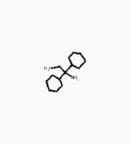 NC(CP)(C1CCCCC1)C1CCCCC1